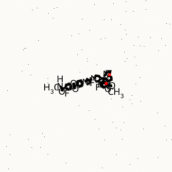 CNC(=O)c1ccc(S(=O)(=O)c2ccc(N3CC(F)(CN4CCC([C@@](CN5CCC5)(c5cccc(F)c5)[C@H]5CCC[C@@H]5NC(=O)OC)CC4)C3)cc2)cc1F